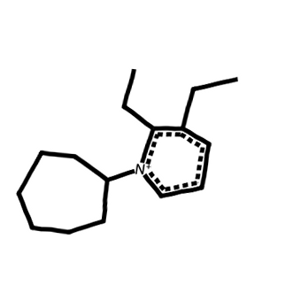 CCc1ccc[n+](C2CCCCCC2)c1CC